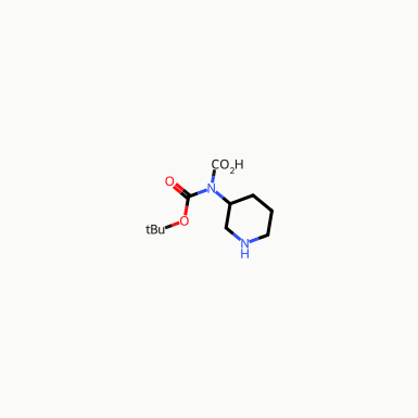 CC(C)(C)OC(=O)N(C(=O)O)C1CCCNC1